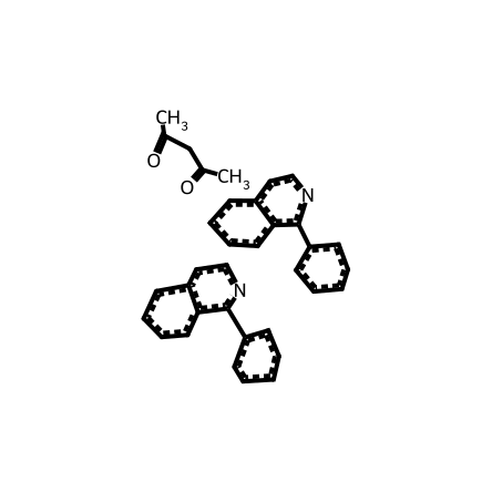 CC(=O)CC(C)=O.c1ccc(-c2nccc3ccccc23)cc1.c1ccc(-c2nccc3ccccc23)cc1